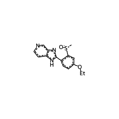 CCOc1ccc(-c2nc3cnccc3[nH]2)c([S+](C)[O-])c1